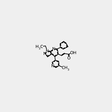 CCn1ncc2c(-c3cncc(C)c3)c(C=CC(=O)O)c(-c3ccccc3)nc21